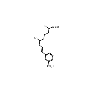 CCCCCC(O)CCCC(CC=Cc1cccc(C(=O)O)c1)C(C)=O